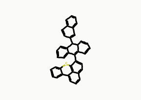 C1=CC2=C(c3ccc4cccc5c4c3Sc3ccccc3-5)c3ccccc3C(c3ccc4ccccc4c3)C2C=C1